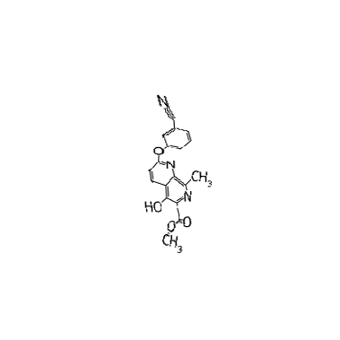 COC(=O)c1nc(C)c2nc(Oc3cccc(C#N)c3)ccc2c1O